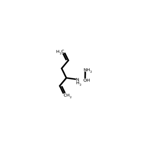 C=CCC(N)C=C.NO